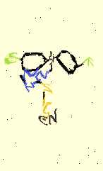 C[Si](Cn1ncnc1SCSC#N)(c1ccc(F)cc1)c1ccc(F)cc1